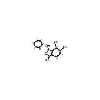 O=C1OC([Se]c2ccccc2)c2c1ccc(F)c2F